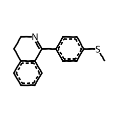 CSc1ccc(C2=NCCc3ccccc32)cc1